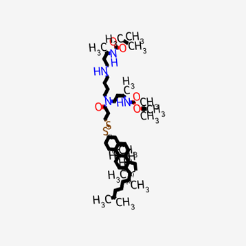 CC(C)CCC[C@@H](C)[C@H]1CC[C@H]2[C@@H]3CC=C4C[C@@H](SSCCC(=O)N(CCCCNCCC(C)NC(=O)OC(C)(C)C)CCC(C)NC(=O)OC(C)(C)C)CC[C@]4(C)[C@H]3CC[C@]12C